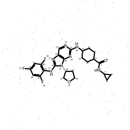 O=C(NC1CC1)C1CCC(Nc2ncc3nc(Nc4c(F)cc(F)cc4F)n([C@@H]4CCOC4)c3n2)CC1